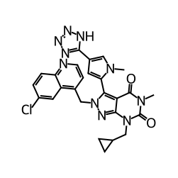 Cn1cc(-c2nnn[nH]2)cc1-c1c2c(=O)n(C)c(=O)n(CC3CC3)c2nn1Cc1ccnc2ccc(Cl)cc12